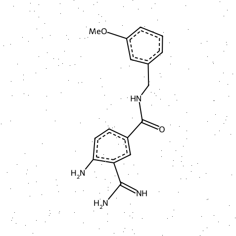 COc1cccc(CNC(=O)c2ccc(N)c(C(=N)N)c2)c1